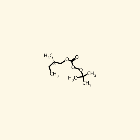 CC[C@H](C)COC(=O)OOC(C)(C)C